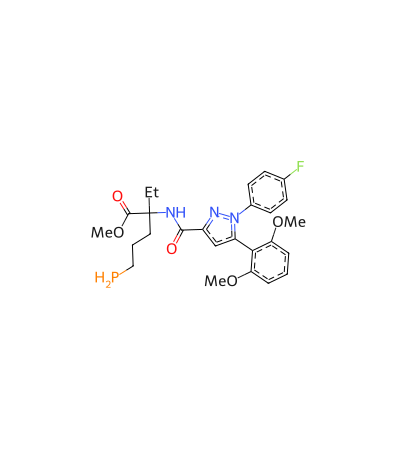 CCC(CCCP)(NC(=O)c1cc(-c2c(OC)cccc2OC)n(-c2ccc(F)cc2)n1)C(=O)OC